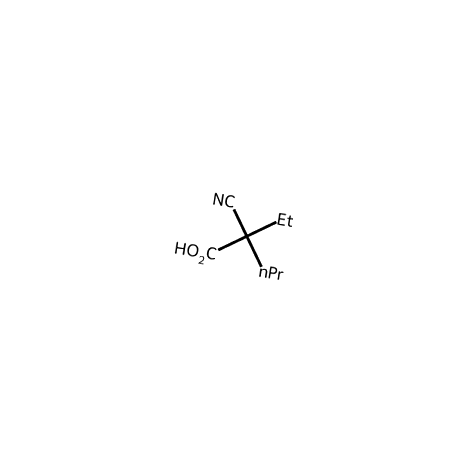 CCCC(C#N)(CC)C(=O)O